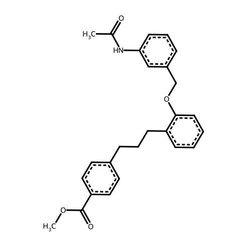 COC(=O)c1ccc(CCCc2ccccc2OCc2cccc(NC(C)=O)c2)cc1